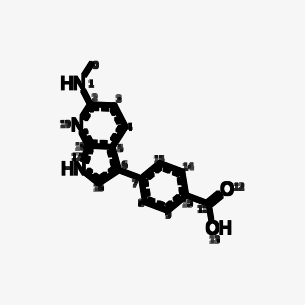 CNc1ccc2c(-c3ccc(C(=O)O)cc3)c[nH]c2n1